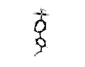 NS(=O)(=O)c1ccc(-c2ccc(CBr)cc2)cc1